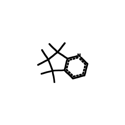 CC1(C)c2cccnc2C(C)(C)C1(C)C